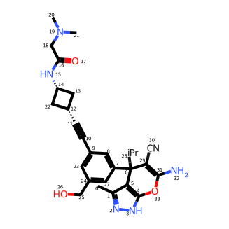 Cc1n[nH]c2c1C(c1cc(C#C[C@H]3C[C@@H](NC(=O)CN(C)C)C3)cc(CO)c1)(C(C)C)C(C#N)=C(N)O2